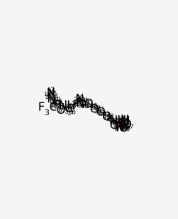 Cc1ccc(C(=O)Nc2ccc(CN3CCN(C)CC3)c(C(F)(F)F)c2)cc1C#Cc1cnc2cc(OCCOCCOCCOCCNC(=O)[C@@H]3C[C@H]4C[C@@H]3[C@@H]3OC(C)(C)O[C@H]43)ccn12